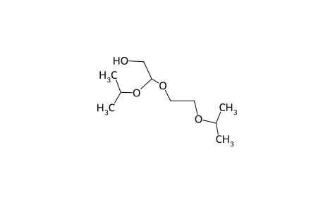 CC(C)OCCOC(CO)OC(C)C